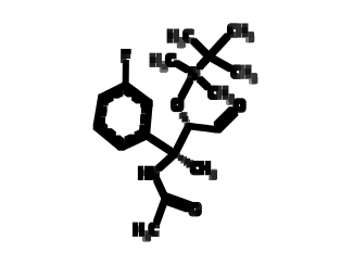 CC(=O)N[C@@](C)(c1cccc(F)c1)[C@@H](C=O)O[Si](C)(C)C(C)(C)C